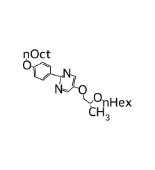 CCCCCCCCOc1ccc(-c2ncc(OC[C@@H](C)OCCCCCC)cn2)cc1